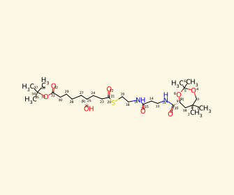 CC1(C)COC(C)(C)O[C@@H](C(=O)NCCC(=O)NCCSC(=O)CC[C@H](O)CCCCC(=O)OC(C)(C)C)C1